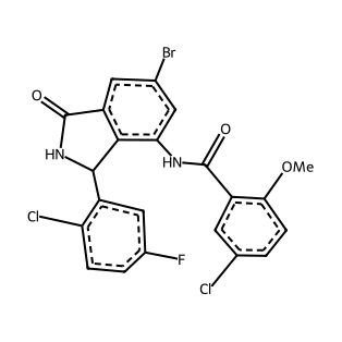 COc1ccc(Cl)cc1C(=O)Nc1cc(Br)cc2c1C(c1cc(F)ccc1Cl)NC2=O